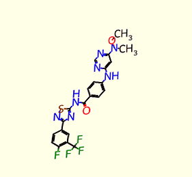 CON(C)c1cc(Nc2ccc(C(=O)Nc3nc(-c4ccc(F)c(C(F)(F)F)c4)ns3)cc2)ncn1